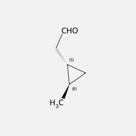 C[C@@H]1C[C@H]1CC=O